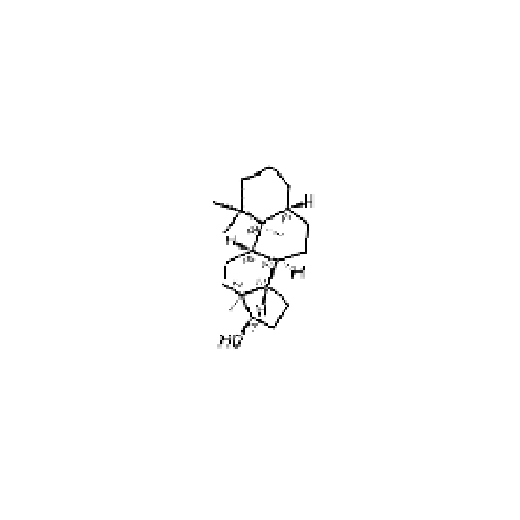 CC1(C)CCC[C@@H]2CC[C@H]3[C@@H]4CC[C@@H](O)[C@@]4(C)CC[C@@H]3[C@]21C